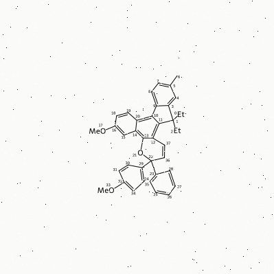 CCC1(CC)c2cc(C)ccc2-c2c1c1c(c3cc(OC)ccc23)OC(c2ccccc2)(c2ccc(OC)cc2)C=C1